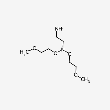 COCCON(CC[NH])OCCOC